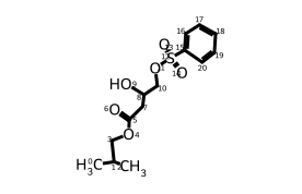 CC(C)COC(=O)CC(O)COS(=O)(=O)c1ccccc1